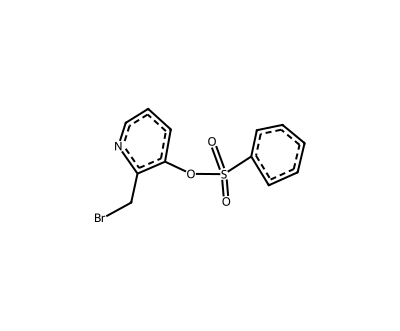 O=S(=O)(Oc1cccnc1CBr)c1ccccc1